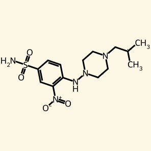 C[C](C)CN1CCN(Nc2ccc(S(N)(=O)=O)cc2[N+](=O)[O-])CC1